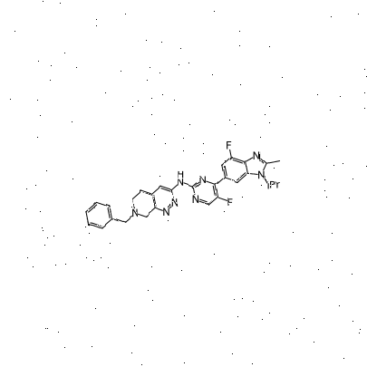 Cc1nc2c(F)cc(-c3nc(Nc4cc5c(nn4)CN(Cc4ccccc4)CC5)ncc3F)cc2n1C(C)C